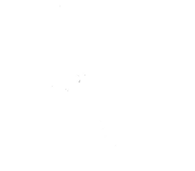 CCCCCCCCCCCCCCCCCCN(CCCCCCCCCCCCCCCCCC)C(=O)NCCN(CCO)CCO